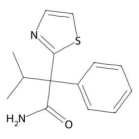 CC(C)C(C(N)=O)(c1ccccc1)c1nccs1